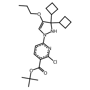 CCCOC1=CN(c2ccc(C(=O)OC(C)(C)C)c(Cl)n2)NC1(C1CCC1)C1CCC1